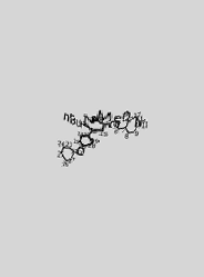 CCCCc1nnc(OCC2CCN(C)CC2OC)cc1-c1ccc(OC2CCCCC2)cc1